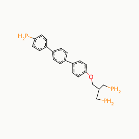 PCC(CP)COc1ccc(-c2ccc(-c3ccc(P)cc3)cc2)cc1